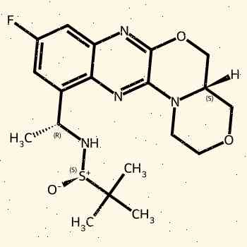 C[C@@H](N[S@+]([O-])C(C)(C)C)c1cc(F)cc2nc3c(nc12)N1CCOC[C@H]1CO3